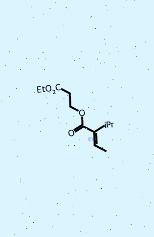 C/C=C(/C(=O)OCCC(=O)OCC)C(C)C